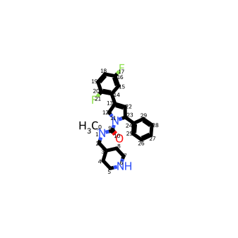 CN(CC1CCNCC1)C(=O)N1CC(c2cc(F)ccc2F)=CC1c1ccccc1